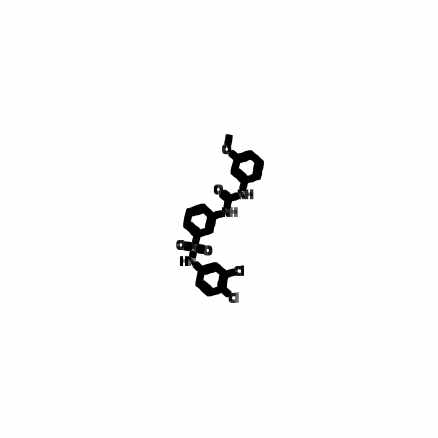 COc1cccc(NC(=O)Nc2cccc(S(=O)(=O)Nc3ccc(Cl)c(Cl)c3)c2)c1